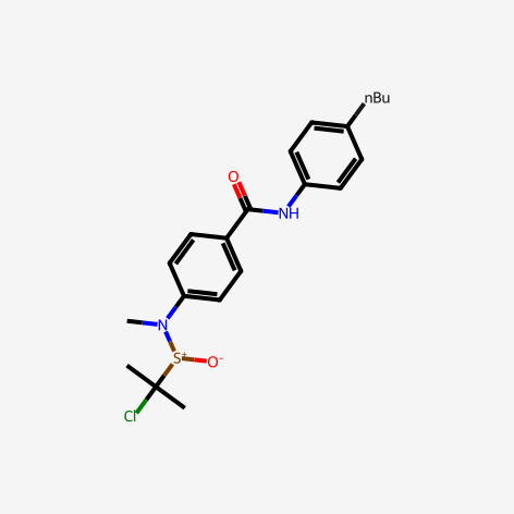 CCCCc1ccc(NC(=O)c2ccc(N(C)[S+]([O-])C(C)(C)Cl)cc2)cc1